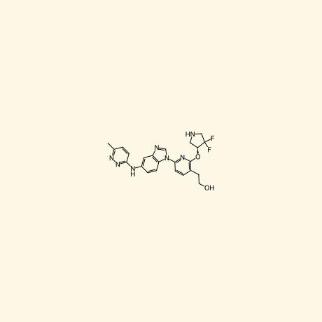 Cc1ccc(Nc2ccc3c(c2)ncn3-c2ccc(CCO)c(O[C@H]3CNCC3(F)F)n2)nn1